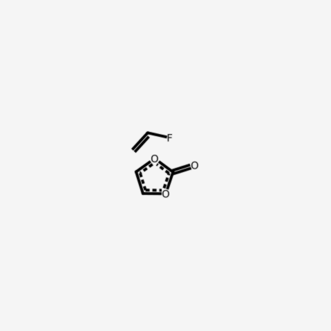 C=CF.O=c1occo1